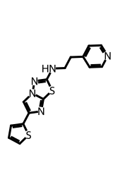 c1csc(-c2cn3nc(NCCc4ccncc4)sc3n2)c1